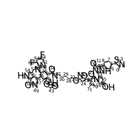 Cc1ncsc1-c1ccc([C@@]2(C)NC([C@@H]3C[C@@H](O)CN3C(=O)[C@H](c3cc(OCCCCCNC(=O)c4cc5c(cc4CS(C)(=O)=O)-c4cn(C)c(=O)c6[nH]cc(c46)CN5c4ncc(F)cc4F)no3)C(C)C)=NC2=O)cc1